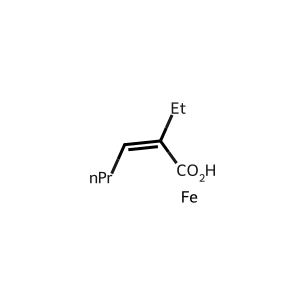 CCCC=C(CC)C(=O)O.[Fe]